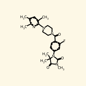 Cc1cc(C)c(N2CCN(C(=O)c3ccc(N4C(=O)N(C)C(=O)C4(C)C)cc3F)CC2)nc1C